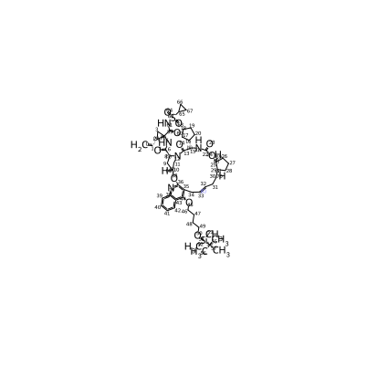 C=C[C@@H]1C[C@]1(NC(=O)[C@@H]1C[C@@H]2CN1C(=O)[C@H](C1CCCC1)NC(=O)O[C@@H]1CCC[C@H]1CC/C=C/Cc1c(nc3ccccc3c1OCCCCO[Si](C)(C)C(C)(C)C)O2)C(=O)NS(=O)(=O)C1CC1